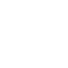 OCC1=C(Br)C(Br)=CC(Br)(CO)C1Br